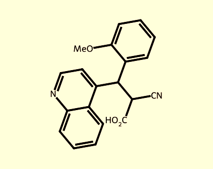 COc1ccccc1C(c1ccnc2ccccc12)C(C#N)C(=O)O